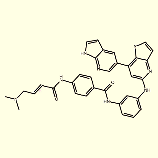 CN(C)C/C=C/C(=O)Nc1ccc(C(=O)Nc2cccc(Nc3cc(-c4cnc5[nH]ccc5c4)c4sccc4n3)c2)cc1